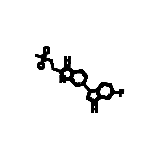 CS(=O)(=O)CCc1nc2cc(-c3c[nH]c4cc(F)ccc34)ccc2[nH]1